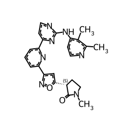 Cc1nccc(Nc2nccc(-c3cccc(-c4cc([C@@H]5CCN(C)C5=O)on4)n3)n2)c1C